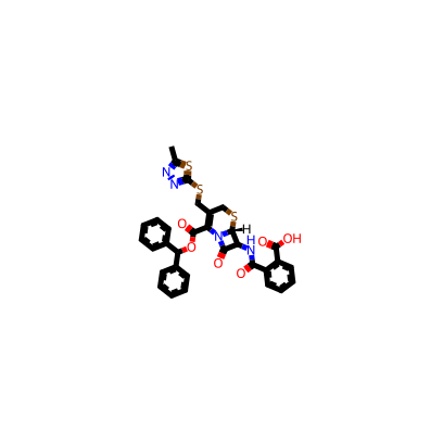 Cc1nnc(SCC2=C(C(=O)OC(c3ccccc3)c3ccccc3)N3C(=O)C(NC(=O)c4ccccc4C(=O)O)[C@H]3SC2)s1